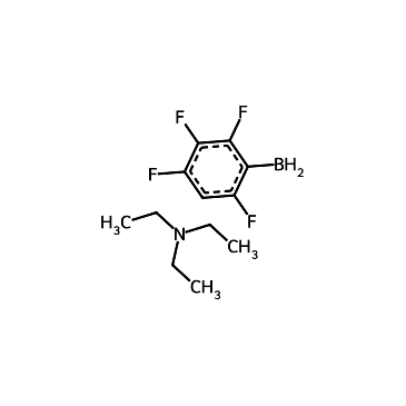 Bc1c(F)cc(F)c(F)c1F.CCN(CC)CC